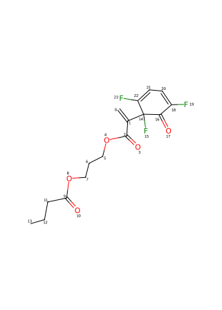 C=C(C(=O)OCCCOC(=O)CCC)C1(F)C(=O)C(F)=CC=C1F